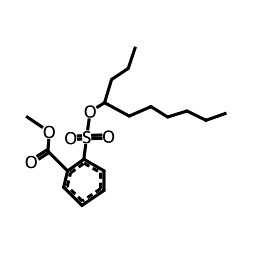 CCCCCCC(CCC)OS(=O)(=O)c1ccccc1C(=O)OC